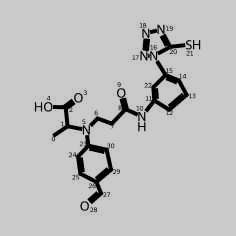 CC(C(=O)O)N(CCC(=O)Nc1cccc(-n2nnnc2S)c1)c1ccc(C=O)cc1